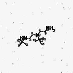 CC(C)(C)NCCN(CCN)C(C)(C)C